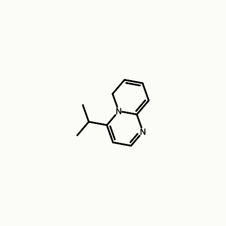 CC(C)C1=CC=NC2=CC=CCN21